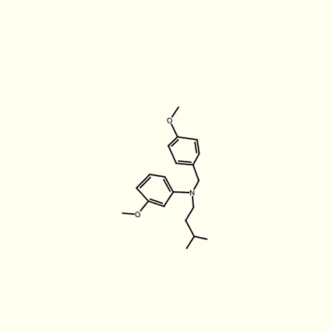 COc1ccc(CN(CCC(C)C)c2cccc(OC)c2)cc1